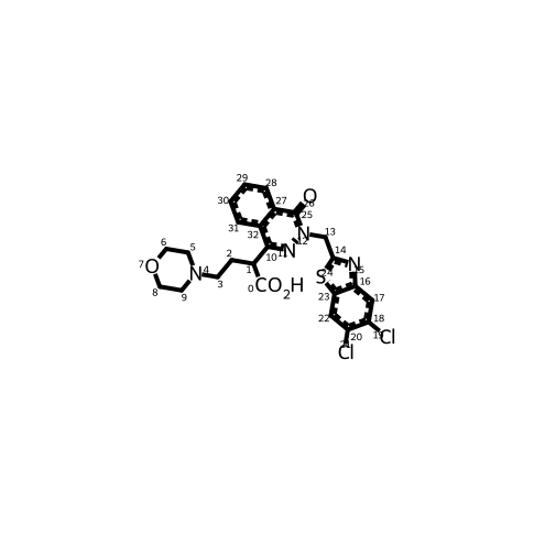 O=C(O)C(CCN1CCOCC1)c1nn(Cc2nc3cc(Cl)c(Cl)cc3s2)c(=O)c2ccccc12